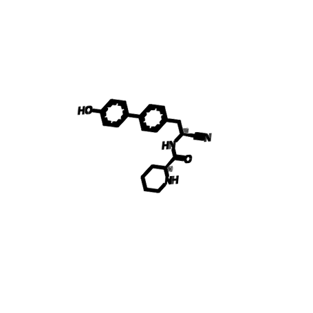 N#C[C@H](Cc1ccc(-c2ccc(O)cc2)cc1)NC(=O)[C@@H]1CCCCN1